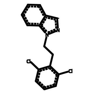 Clc1cccc(Cl)c1CCn1n[c]c2ccccc21